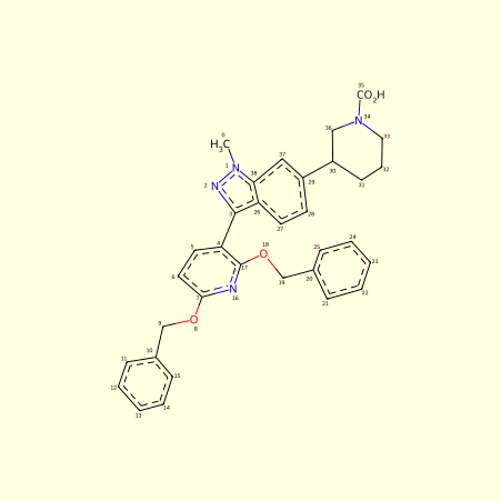 Cn1nc(-c2ccc(OCc3ccccc3)nc2OCc2ccccc2)c2ccc(C3CCCN(C(=O)O)C3)cc21